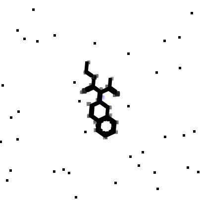 CCOC(=O)/C(C(C)=O)=C1\C=Cc2ccccc2C1